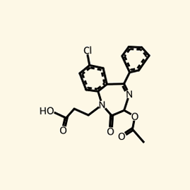 CC(=O)OC1N=C(c2ccccc2)c2cc(Cl)ccc2N(CCC(=O)O)C1=O